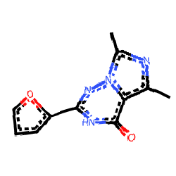 Cc1nc(C)n2nc(-c3ccco3)[nH]c(=O)c12